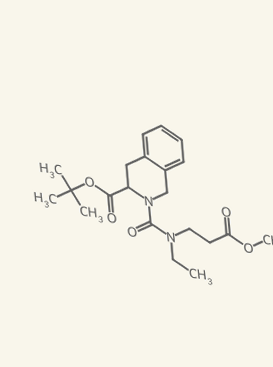 CCN(CCC(=O)OC)C(=O)N1Cc2ccccc2CC1C(=O)OC(C)(C)C